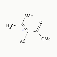 COC(=O)/C(C(C)=O)=C(/C)SC